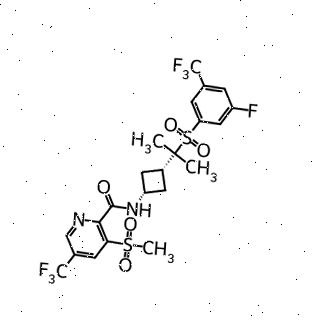 CC(C)([C@H]1C[C@@H](NC(=O)c2ncc(C(F)(F)F)cc2S(C)(=O)=O)C1)S(=O)(=O)c1cc(F)cc(C(F)(F)F)c1